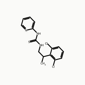 CC(CNC(=S)Nc1ccccn1)c1c(Cl)cccc1Cl